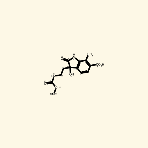 Cc1c(C(=O)O)ccc2c1NC(=O)C2(O)CCNC(=O)OC(C)(C)C